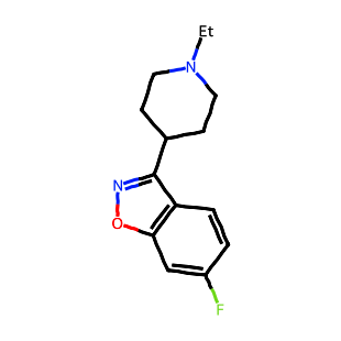 [CH2]CN1CCC(c2noc3cc(F)ccc23)CC1